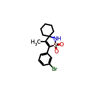 CC1=C(c2cccc(Br)c2)S(=O)(=O)NC12CCCCC2